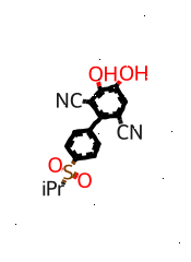 CC(C)S(=O)(=O)c1ccc(-c2c(C#N)cc(O)c(O)c2C#N)cc1